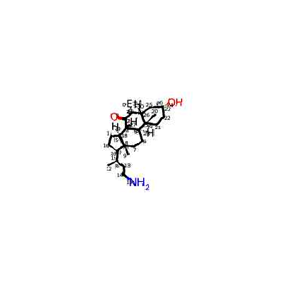 CC[C@H]1C(=O)[C@@H]2[C@H](CC[C@]3(C)[C@@H]([C@H](C)CCN)CC[C@@H]23)[C@@]2(C)CC[C@@H](O)C[C@@H]12